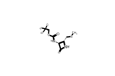 CSC[C@@H]1NC(=O)[C@@H]1NC(=O)OCC(Cl)(Cl)Cl